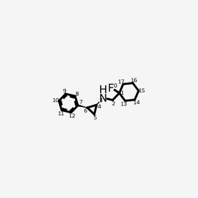 FC1(CN[C@@H]2C[C@H]2c2ccccc2)CCCCC1